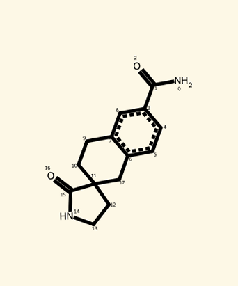 NC(=O)c1ccc2c(c1)CCC1(CCNC1=O)C2